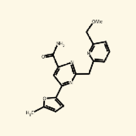 COCc1cccc(Cc2nc(C(N)=O)cc(-c3ccc(C)o3)n2)n1